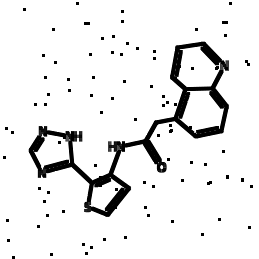 O=C(Cc1cccc2ncccc12)Nc1ccsc1-c1ncn[nH]1